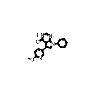 COc1ccc(-c2cn(-c3ccccc3)c3nc[nH]c(=O)c23)cn1